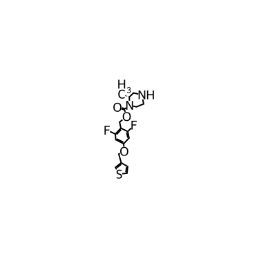 C[C@@H]1CNCCN1C(=O)OCc1c(F)cc(OCc2ccsc2)cc1F